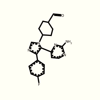 Nc1nccc(-c2c(-c3ccc(F)cc3)ncn2C2CCC(C=O)CC2)n1